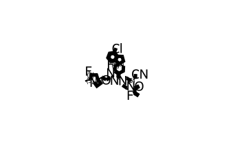 C=C(F)C(=O)N1CCN(c2nc(OC[C@@]34CCN3[C@@H](C)[C@H](F)C4)nc3c2CC[C@@]2(CCc4c(Cl)cccc42)[C@H]3F)C[C@@H]1CC#N